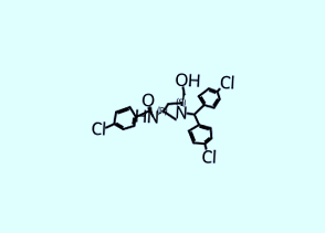 O=C(N[C@@H]1C[C@@H](CO)N(C(c2ccc(Cl)cc2)c2ccc(Cl)cc2)C1)c1ccc(Cl)cc1